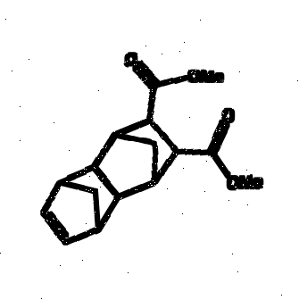 COC(=O)C1C2CC(C1C(=O)OC)C1C3C=CC(C3)C21